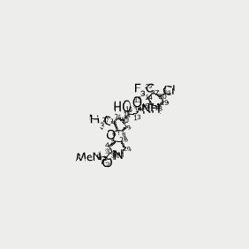 CNC(=O)c1cc(Oc2ccc(C(O)CC(=O)Nc3ccc(Cl)c(C(F)(F)F)c3)cc2C)ccn1